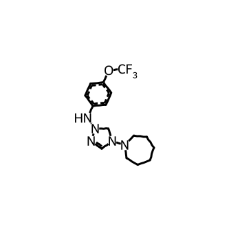 FC(F)(F)Oc1ccc(NN2CN(N3CCCCCC3)C=N2)cc1